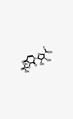 O=c1ccn([C@@H]2O[C@H](C(O)F)[C@@H](O)[C@H]2O)c(=O)n1OP(O)(O)=S